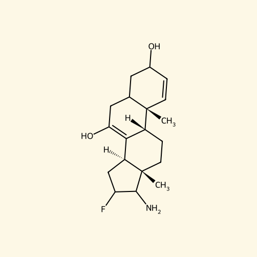 C[C@]12C=CC(O)CC1CC(O)=C1[C@H]2CC[C@]2(C)C(N)C(F)C[C@@H]12